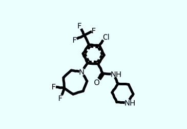 O=C(NC1CCNCC1)c1cc(Cl)c(C(F)(F)F)cc1N1CCCC(F)(F)CC1